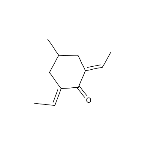 C/C=C1\CC(C)C/C(=C\C)C1=O